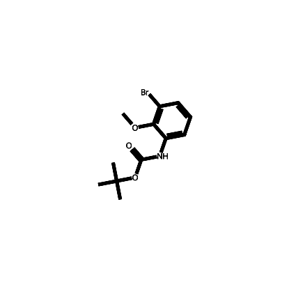 COc1c(Br)cccc1NC(=O)OC(C)(C)C